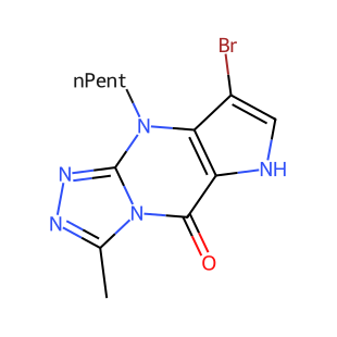 CCCCCn1c2c(Br)c[nH]c2c(=O)n2c(C)nnc12